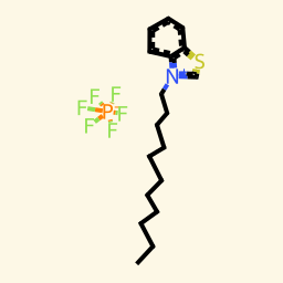 CCCCCCCCCCC[n+]1csc2ccccc21.F[P-](F)(F)(F)(F)F